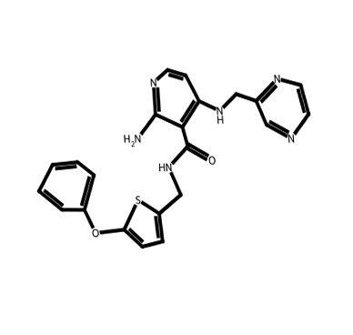 Nc1nccc(NCc2cnccn2)c1C(=O)NCc1ccc(Oc2ccccc2)s1